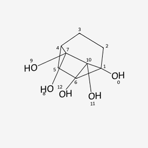 OC12CCC(CC1)C(O)(O)C2(O)O